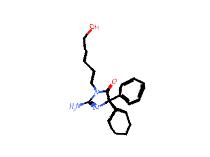 NC1=NC(c2ccccc2)(C2CCCCC2)C(=O)N1CCCCCO